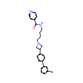 Cc1cccc(-c2ccc(C3CN(CCCCN(C)C(=O)c4ccncc4)C3)cc2)c1